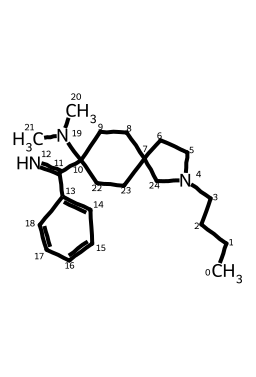 CCCCN1CCC2(CCC(C(=N)c3ccccc3)(N(C)C)CC2)C1